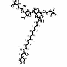 CC[C@H]1O[C@@H](n2cnc3c(OCC[Si](C)(C)C)nc(NCCCCCCCCCCCCNC(=O)CC4CCSS4)nc32)C[C@H]1OC(=O)CCC(=O)O